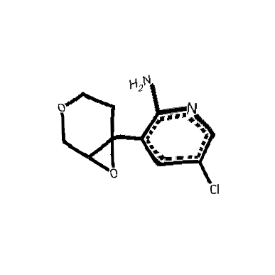 Nc1ncc(Cl)cc1C12CCOCC1O2